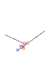 CCCCCCCCC=CCCCCCCCCOCC(CNC(=O)OCCCN(C)C)OCCCCCCCCC=CCCCCCCCC